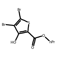 CCCOC(=O)c1sc(Br)c(Br)c1O